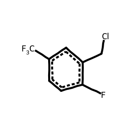 Fc1ccc(C(F)(F)F)cc1CCl